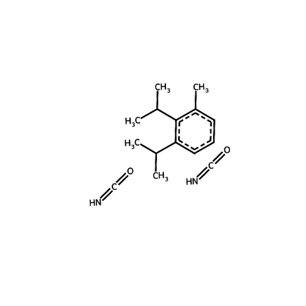 Cc1cccc(C(C)C)c1C(C)C.N=C=O.N=C=O